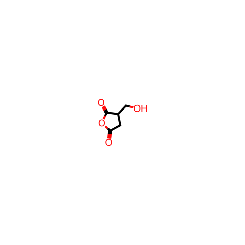 O=C1CC(CO)C(=O)O1